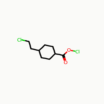 O=C(OCl)C1CCC(CCCl)CC1